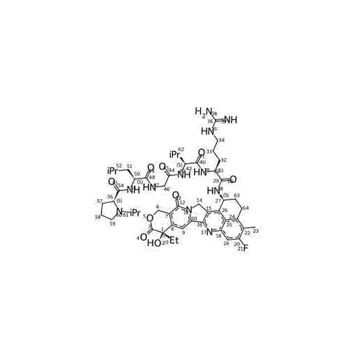 CC[C@@]1(O)C(=O)OCc2c1cc1n(c2=O)Cc2c-1nc1cc(F)c(C)c3c1c2[C@@H](NC(=O)[C@H](CCCNC(=N)N)NC(=O)[C@@H](NC(=O)CNC(=O)[C@H](CC(C)C)NC(=O)[C@@H]1CCCN1C(C)C)C(C)C)CC3